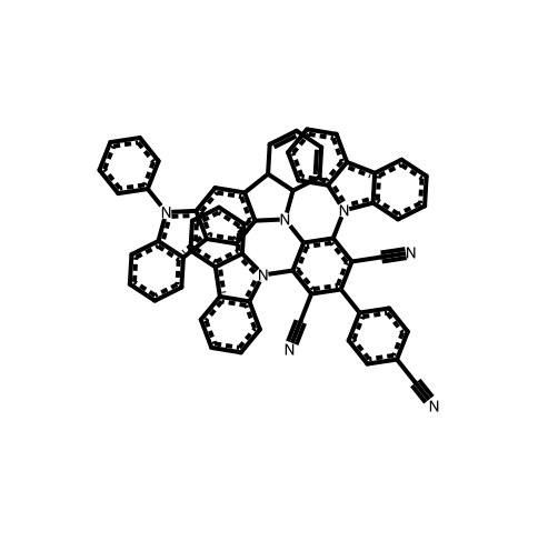 N#Cc1ccc(-c2c(C#N)c(-n3c4ccccc4c4ccccc43)c(N3c4cc5c6ccccc6n(-c6ccccc6)c5cc4C4C=CC=CC43)c(-n3c4ccccc4c4ccccc43)c2C#N)cc1